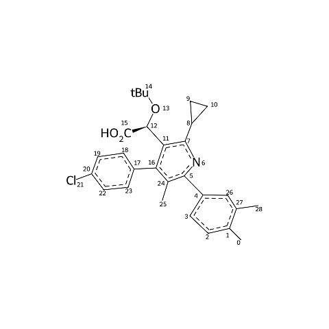 Cc1ccc(-c2nc(C3CC3)c([C@H](OC(C)(C)C)C(=O)O)c(-c3ccc(Cl)cc3)c2C)cc1C